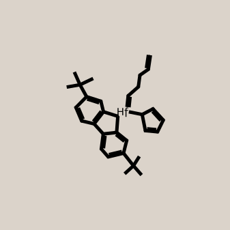 C=CCC[CH]=[Hf]([CH]1C=CC=C1)[CH]1c2cc(C(C)(C)C)ccc2-c2ccc(C(C)(C)C)cc21